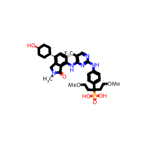 COCCC(CCOC)(c1ccc(Nc2ncc(C(F)(F)F)c(Nc3ccc([C@H]4CC[C@H](O)CC4)c4c3C(=O)N(C)C4)n2)cc1)P(=O)(O)O